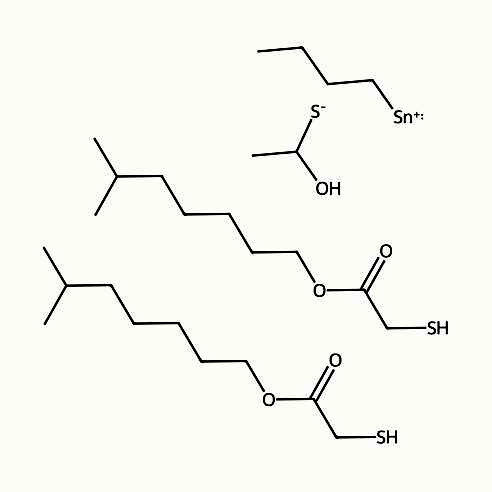 CC(C)CCCCCOC(=O)CS.CC(C)CCCCCOC(=O)CS.CC(O)[S-].CCC[CH2][Sn+]